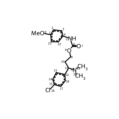 COc1ccc(NC(=O)OCCC(c2ccc(Cl)cc2)N(C)C)cc1